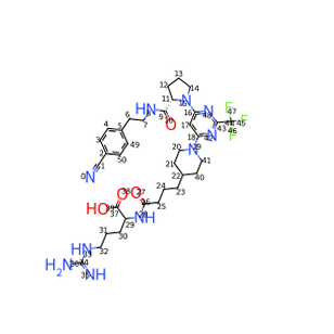 N#Cc1ccc(CCNC(=O)[C@@H]2CCCN2c2cc(N3CCC(CCCC(=O)NC(CCCNC(=N)N)C(=O)O)CC3)nc(C(F)(F)F)n2)cc1